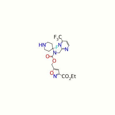 CCOC(=O)c1cc(COC(=O)N(Cc2nccc(C(F)(F)F)n2)C2(F)CCNCC2)on1